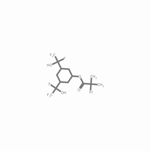 CCC(C)(C)C(=O)OC1CC(C(O)(F)C(F)(F)F)CC(C(O)(F)C(F)(F)F)C1